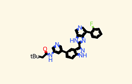 CC(C)(C)CC(=O)Nc1cncc(-c2ccc3[nH]nc(-c4nc5c(-c6ccccc6F)cncc5[nH]4)c3c2)c1